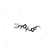 C[C@@H](CO)NC(=O)c1cccc(C(=O)NCc2ccc3nc(N)sc3c2)n1